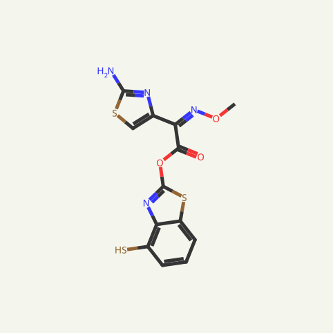 CO/N=C(\C(=O)Oc1nc2c(S)cccc2s1)c1csc(N)n1